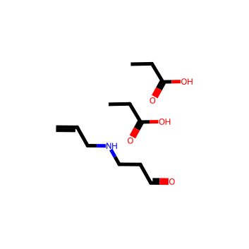 C=CCNCCC=O.CCC(=O)O.CCC(=O)O